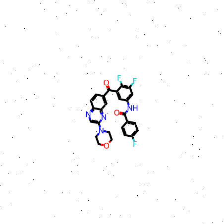 O=C(Nc1cc(F)c(F)c(C(=O)c2ccc3ncc(N4CCOCC4)nc3c2)c1)c1ccc(F)cc1